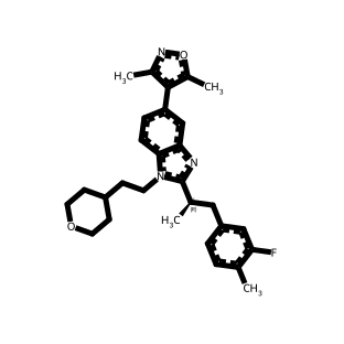 Cc1ccc(C[C@@H](C)c2nc3cc(-c4c(C)noc4C)ccc3n2CCC2CCOCC2)cc1F